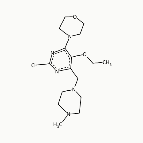 CCOc1c(CN2CCN(C)CC2)nc(Cl)nc1N1CCOCC1